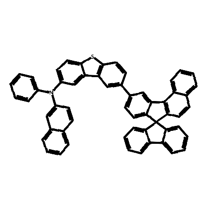 c1ccc(N(c2ccc3ccccc3c2)c2ccc3sc4ccc(-c5ccc6c(c5)-c5c(ccc7ccccc57)C65c6ccccc6-c6ccccc65)cc4c3c2)cc1